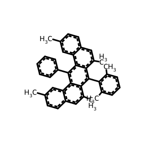 Cc1ccc2cc(C)c3c(-c4c(C)cccc4C)c4c(C)cc5ccc(C)cc5c4c(-c4ccccc4)c3c2c1